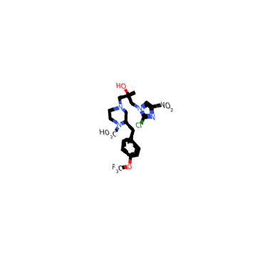 CC(O)(CN1CCN(C(=O)O)C(Cc2ccc(OC(F)(F)F)cc2)C1)Cn1cc([N+](=O)[O-])nc1Cl